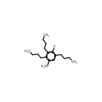 CCCCc1c[c]([SnH3])c(CCCC)c(CCCC)c1F